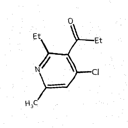 CCC(=O)c1c(Cl)cc(C)nc1CC